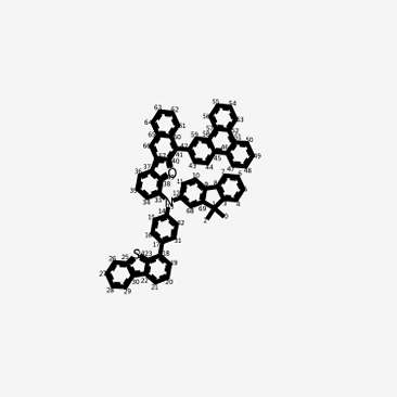 CC1(C)c2ccccc2-c2ccc(N(c3ccc(-c4cccc5c4sc4ccccc45)cc3)c3cccc4c3oc3c(-c5ccc6c7ccccc7c7ccccc7c6c5)c5ccccc5cc34)cc21